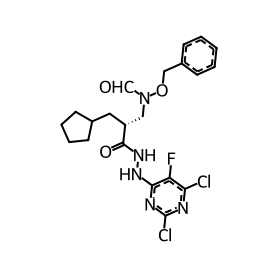 O=CN(C[C@@H](CC1CCCC1)C(=O)NNc1nc(Cl)nc(Cl)c1F)OCc1ccccc1